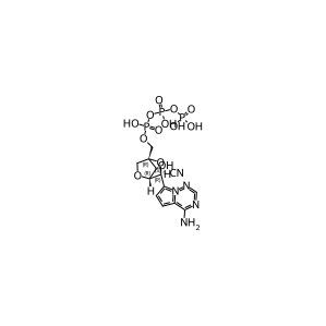 N#C[C@@]1(c2ccc3c(N)ncnn23)O[C@@]2(COP(=O)(O)OP(=O)(O)OP(=O)(O)O)CO[C@@H]1[C@@H]2O